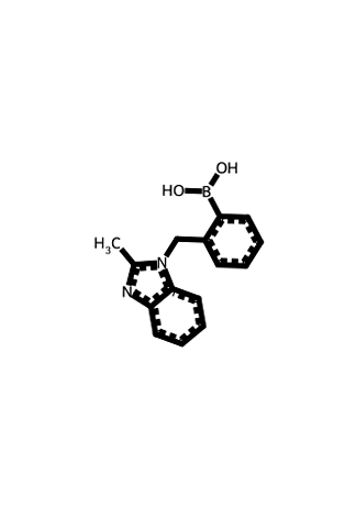 Cc1nc2ccccc2n1Cc1ccccc1B(O)O